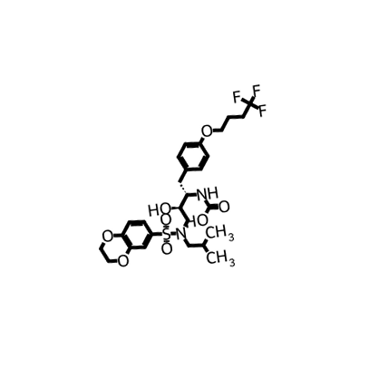 CC(C)CN(C[C@@H](O)[C@H](Cc1ccc(OCCCC(F)(F)F)cc1)NC(=O)O)S(=O)(=O)c1ccc2c(c1)OCCO2